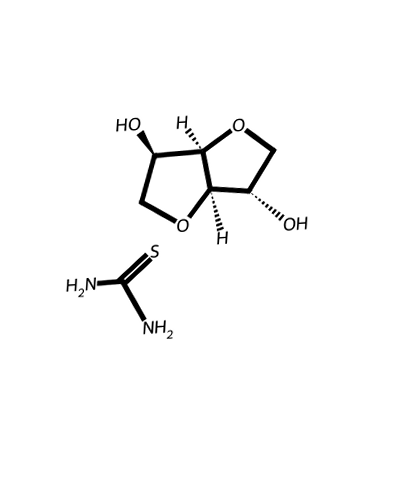 NC(N)=S.O[C@@H]1CO[C@H]2[C@@H]1OC[C@@H]2O